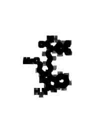 COCCc1nc2c(N)nc3ccccc3c2n1CCCCN(C(N)=O)C1=CS(=O)(=O)C1